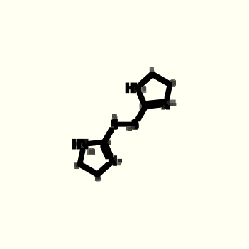 C1CNC(SSC2=NCCN2)=N1